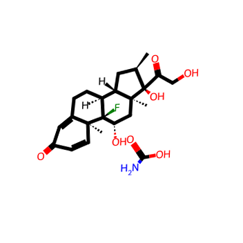 C[C@@H]1C[C@H]2[C@@H]3CCC4=CC(=O)C=C[C@]4(C)[C@@]3(F)[C@@H](O)C[C@]2(C)[C@@]1(O)C(=O)CO.NC(=O)O